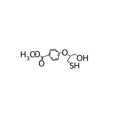 COC(=O)c1ccc(OC(CO)CS)cc1